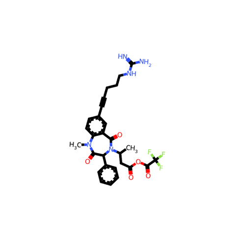 CC(CC(=O)OC(=O)C(F)(F)F)N1C(=O)c2cc(C#CCCCNC(=N)N)ccc2N(C)C(=O)C1c1ccccc1